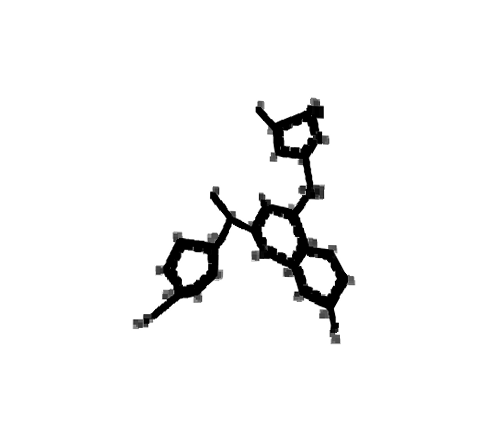 Cc1cc(Nc2nc(C(C)c3ccc(F)cc3)nc3cc(F)ccc23)n[nH]1